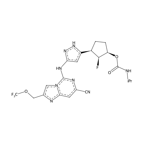 CC(C)NC(=O)O[C@@H]1CC[C@H](c2cc(Nc3nc(C#N)cc4nc(COC(F)(F)F)cn34)n[nH]2)[C@@H]1F